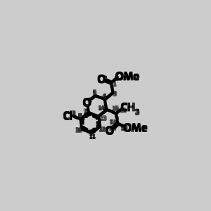 COC(=O)CC1COc2c(Cl)cccc2C1C(C)C(=O)OC